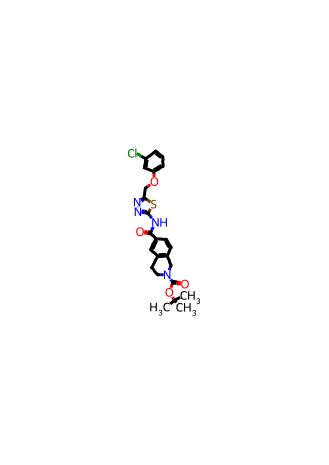 CC(C)(C)OC(=O)N1CCc2cc(C(=O)Nc3nnc(COc4cccc(Cl)c4)s3)ccc2C1